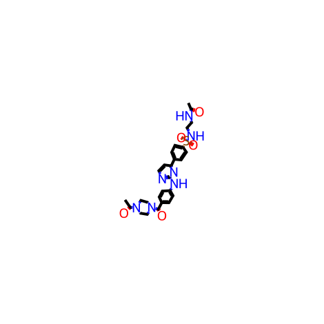 CC(=O)NCCNS(=O)(=O)c1ccc(-c2ccnc(Nc3ccc(C(=O)N4CCN(C(C)=O)CC4)cc3)n2)cc1